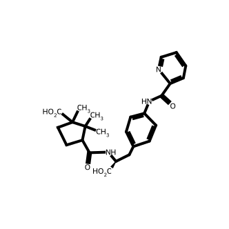 CC1(C(=O)O)CCC(C(=O)N[C@@H](Cc2ccc(NC(=O)c3ccccn3)cc2)C(=O)O)C1(C)C